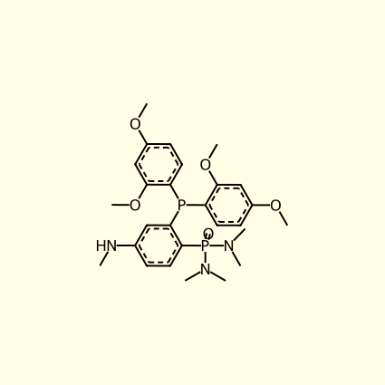 CNc1ccc(P(=O)(N(C)C)N(C)C)c(P(c2ccc(OC)cc2OC)c2ccc(OC)cc2OC)c1